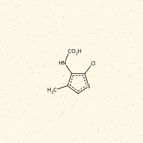 Cc1csc(Cl)c1NC(=O)O